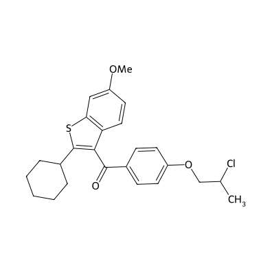 COc1ccc2c(C(=O)c3ccc(OCC(C)Cl)cc3)c(C3CCCCC3)sc2c1